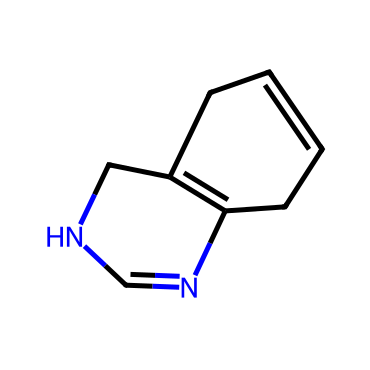 C1=CCC2=C(C1)CNC=N2